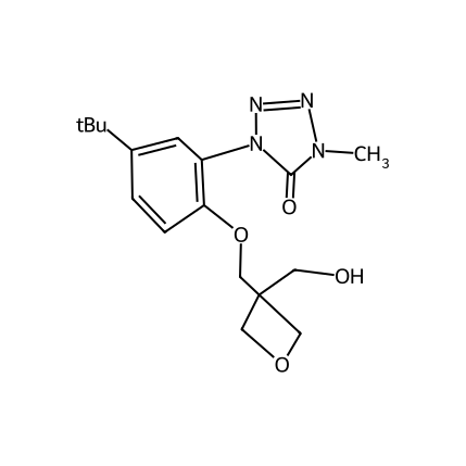 Cn1nnn(-c2cc(C(C)(C)C)ccc2OCC2(CO)COC2)c1=O